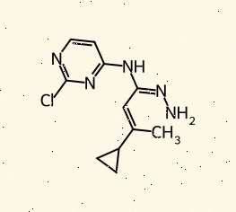 C/C(=C\C(=N/N)Nc1ccnc(Cl)n1)C1CC1